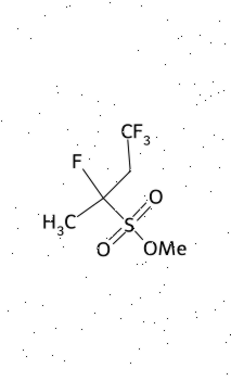 COS(=O)(=O)C(C)(F)CC(F)(F)F